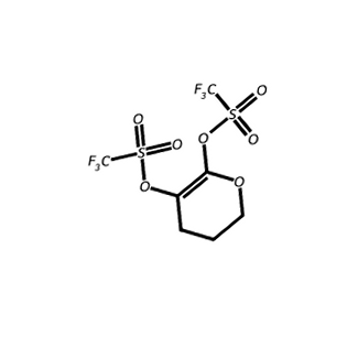 O=S(=O)(OC1=C(OS(=O)(=O)C(F)(F)F)OCCC1)C(F)(F)F